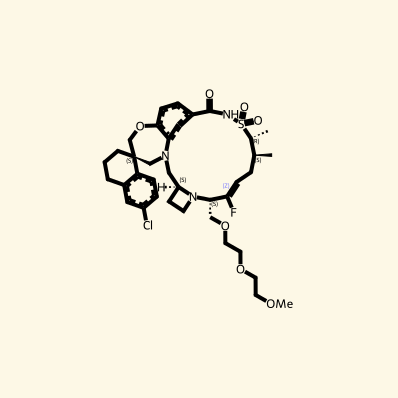 COCCOCCOC[C@H]1/C(F)=C/C[C@H](C)[C@@H](C)S(=O)(=O)NC(=O)c2ccc3c(c2)N(C[C@@H]2CCN21)C[C@@]1(CCCc2cc(Cl)ccc21)CO3